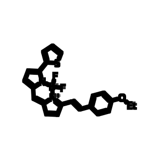 CCOc1ccc(/C=C/C2=[N+]3C(=Cc4ccc(-c5cccs5)n4[B-]3(F)F)C=C2)cc1